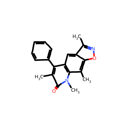 Cc1c(-c2ccccc2)c2cc3c(C)noc3c(C)c2n(C)c1=O